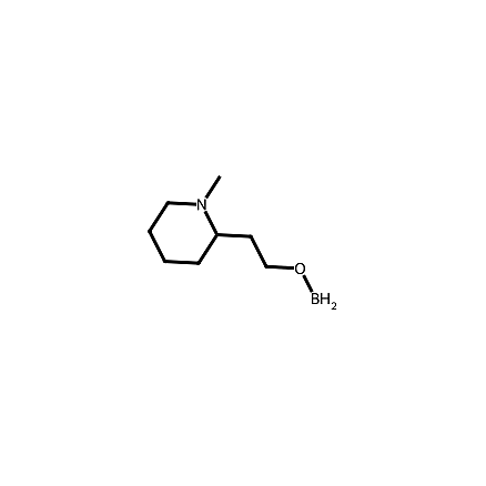 BOCCC1CCCCN1C